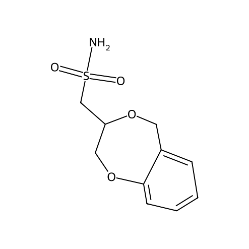 NS(=O)(=O)CC1COc2ccccc2CO1